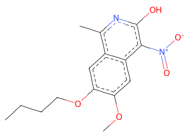 CCCCOc1cc2c(C)nc(O)c([N+](=O)[O-])c2cc1OC